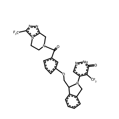 O=C(c1cccc(OCC2c3ccccc3CN2c2cn[nH]c(=O)c2C(F)(F)F)c1)N1CCn2c(nnc2C(F)(F)F)C1